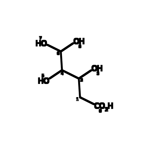 O=C(O)CC(O)C(O)C(O)O